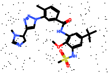 COc1c(NC(=O)c2ccc(C)c(-n3cc(C4CN=CN4C)nn3)c2)cc(C(C)(C)C)cc1NS(C)(=O)=O